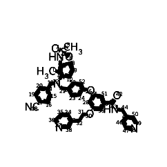 Cc1c(NS(C)(=O)=O)cccc1N(Cc1ccc(C#N)cc1)Cc1ccc(Oc2cc(OCCc3cccnc3)cc(C(=O)NCc3ccncc3)c2)cc1